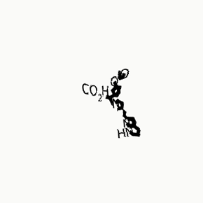 O=C(O)CC(CN1CC[C@@H](CCc2ccc3c(n2)NCCC3)C1)c1cccc(OC2COC2)c1